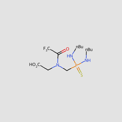 CCCCNP(=S)(CN(CC(=O)O)C(=O)C(F)(F)F)NCCCC